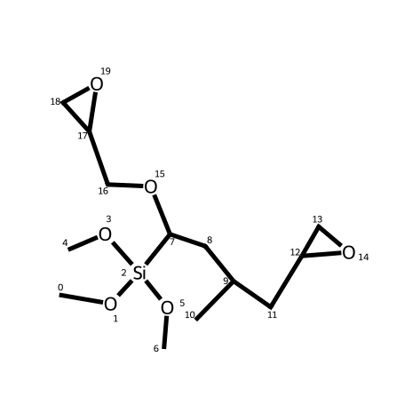 CO[Si](OC)(OC)C(CC(C)CC1CO1)OCC1CO1